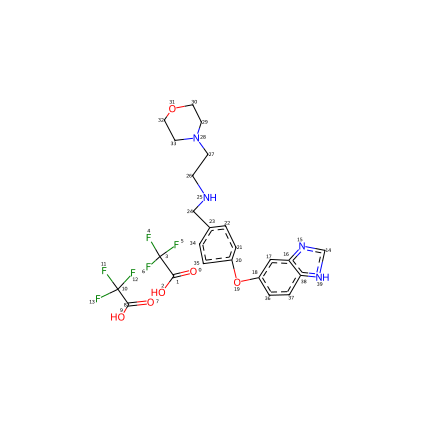 O=C(O)C(F)(F)F.O=C(O)C(F)(F)F.c1nc2cc(Oc3ccc(CNCCN4CCOCC4)cc3)ccc2[nH]1